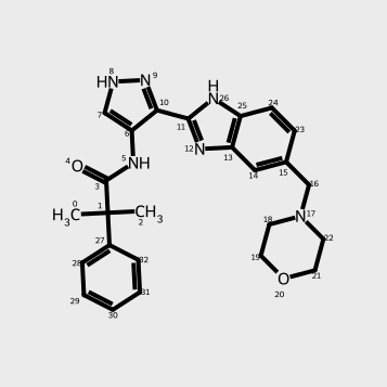 CC(C)(C(=O)Nc1c[nH]nc1-c1nc2cc(CN3CCOCC3)ccc2[nH]1)c1ccccc1